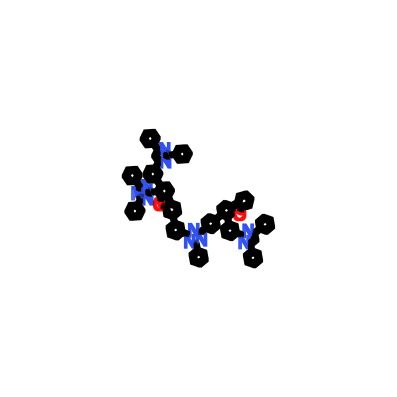 c1ccc(-c2cc(-c3cccc(-c4ccc5c(oc6cc(-c7cccc(-c8nc(-c9ccccc9)nc(-c9ccc(-c%10ccc%11c(oc%12ccccc%12%11)c%10-c%10cccc(-c%11nc(-c%12ccccc%12)cc(-c%12ccccc%12)n%11)c%10)cc9)n8)c7)ccc65)c4-c4nc(-c5ccccc5)nc(-c5ccccc5)n4)c3)nc(-c3ccccc3)n2)cc1